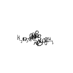 C=CCNC(=O)NS(=O)(=O)c1ccccc1-c1ccc(Cn2c(CCCC)nc3cccc(OC(=O)OC)c32)cc1